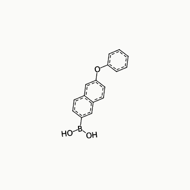 OB(O)c1ccc2cc(Oc3ccccc3)ccc2c1